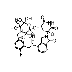 O=C1CCC(O)(N2Cc3c(NCc4cc(CN5C(O)(O)C(O)(O)OC(O)(O)C5(O)O)ccc4F)cccc3C2=O)C(=O)N1